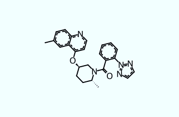 Cc1ccc2nccc(O[C@@H]3CC[C@@H](C)N(C(=O)c4ccccc4-n4nccn4)C3)c2c1